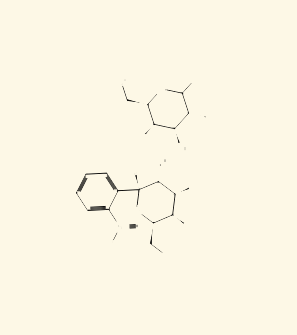 O=[N+]([O-])c1ccccc1[C@@]1(O)O[C@H](CO)[C@H](O)[C@H](O)[C@H]1O.OC[C@H]1OC(O)[C@H](O)[C@@H](O)[C@H]1O